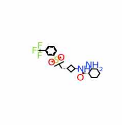 CC(C)(C[C@H]1C[C@H](NC(=O)[C@@H]2CCCC[C@H]2N)C1)S(=O)(=O)c1cccc(C(F)(F)F)c1